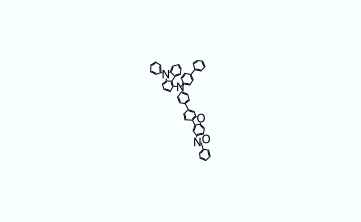 c1ccc(-c2ccc(N(c3ccc(-c4ccc5c(c4)oc4cc6oc(-c7ccccc7)nc6cc45)cc3)c3cccc4c3c3ccccc3n4-c3ccccc3)cc2)cc1